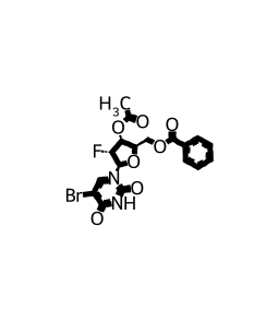 CC(=O)O[C@H]1[C@@H](F)[C@H](n2cc(Br)c(=O)[nH]c2=O)O[C@@H]1COC(=O)c1ccccc1